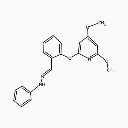 COc1cc(OC)nc(Oc2ccccc2/C=N/Nc2ccccc2)c1